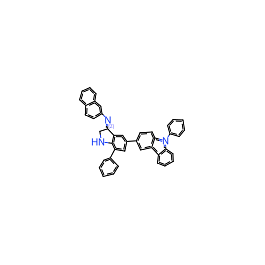 c1ccc(-c2cc(-c3ccc4c(c3)c3ccccc3n4-c3ccccc3)cc3c2NC/C3=N\c2ccc3ccccc3c2)cc1